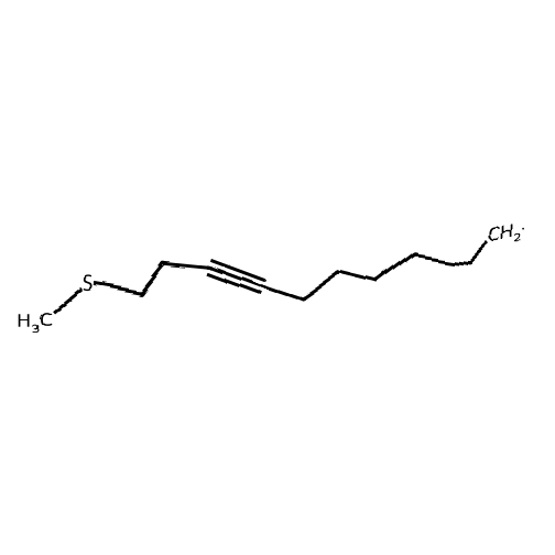 [CH2]CCCCCC#CCCSC